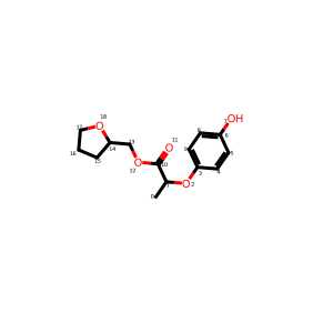 CC(Oc1ccc(O)cc1)C(=O)OCC1CCCO1